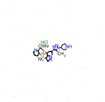 COC(COc1cc(-c2nnn(C3CCNCC3)c2C)cn2ncc(C#N)c12)c1ncccc1Cl.Cl